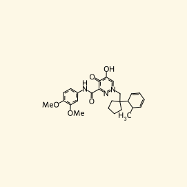 COc1ccc(NC(=O)c2nn(CC3(C4C=CC=CC4C)CCCC3)cc(O)c2=O)cc1OC